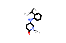 CC(C)c1ccccc1N[C@@H]1CCC(=O)N(C)C1